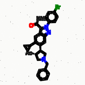 CNC(=O)c1c2cc(C3CC3)c([C@H]3CN(Cc4ccccc4)C[C@@H]3C(C)=O)cc2nn1-c1ccc(Br)cc1